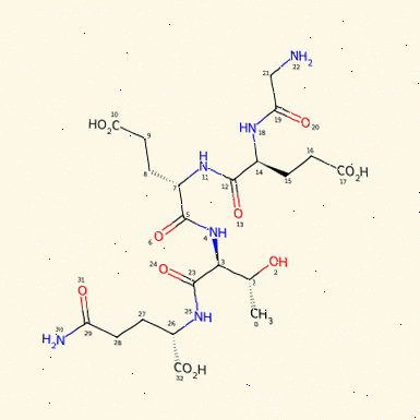 C[C@@H](O)[C@H](NC(=O)[C@H](CCC(=O)O)NC(=O)[C@H](CCC(=O)O)NC(=O)CN)C(=O)N[C@@H](CCC(N)=O)C(=O)O